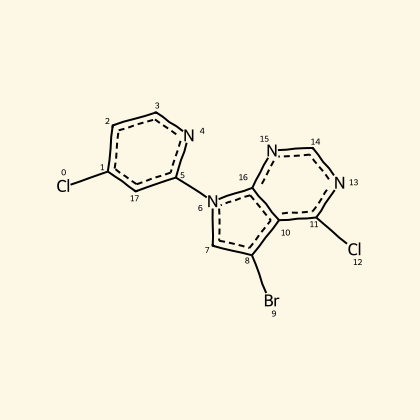 Clc1ccnc(-n2cc(Br)c3c(Cl)ncnc32)c1